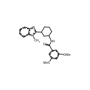 COc1cc(SC)cc(C(=O)NC2CCCC(c3nc4ccccc4n3C)C2)c1